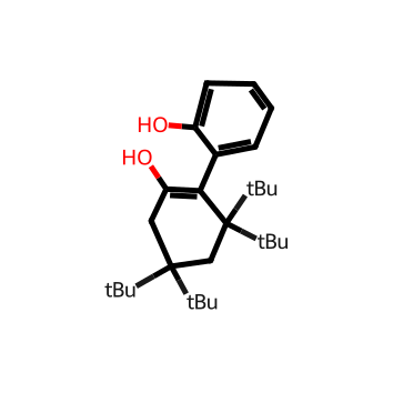 CC(C)(C)C1(C(C)(C)C)CC(O)=C(c2ccccc2O)C(C(C)(C)C)(C(C)(C)C)C1